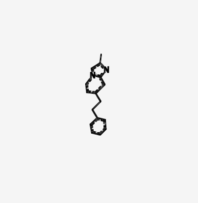 Cc1cn2ccc(CCc3ccccc3)cc2n1